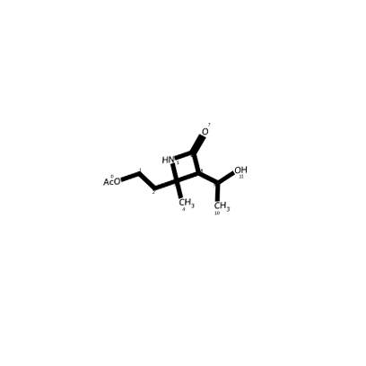 CC(=O)OCCC1(C)NC(=O)C1C(C)O